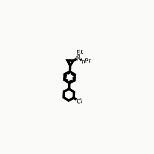 CCCN(CC)C1CC1c1ccc(C2CCCC(Cl)C2)cc1